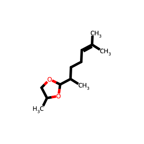 CC(C)=CCCC(C)C1OCC(C)O1